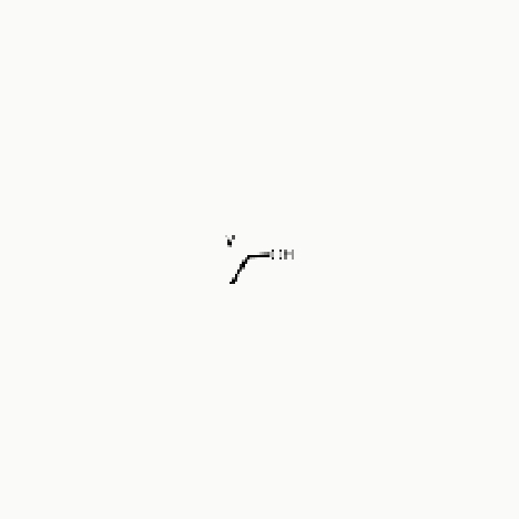 CCO.[V]